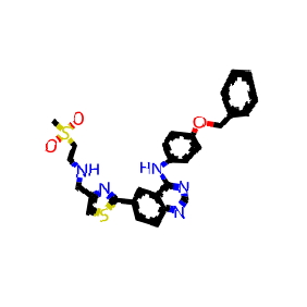 CS(=O)(=O)CCNCc1csc(-c2ccc3ncnc(Nc4ccc(OCc5ccccc5)cc4)c3c2)n1